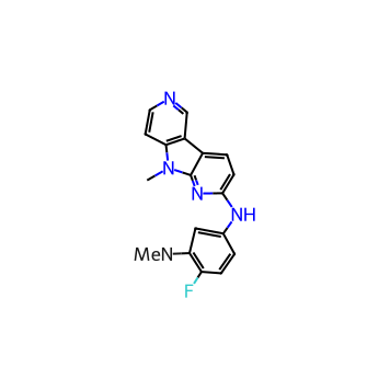 CNc1cc(Nc2ccc3c4cnccc4n(C)c3n2)ccc1F